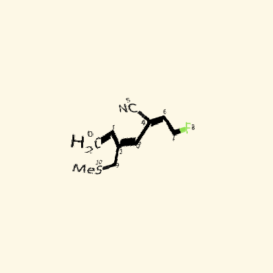 C=C/C(=C\C(C#N)=C/CF)CSC